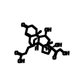 C[C@]12CCC(=O)C=C1CC[C@H]1[C@@H]3CC[C@](O)(C(=O)CO)[C@@]3(C)C[C@H](O)[C@@]12CCCCC(=O)O